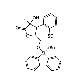 Cc1ccc(S(=O)(=O)O)c(C2C(CO[Si](c3ccccc3)(c3ccccc3)C(C)(C)C)OC(=O)C2(C)O)c1